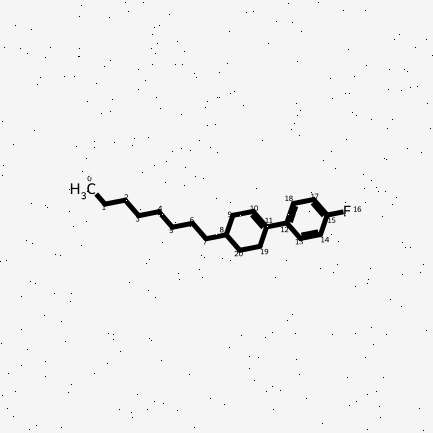 CCCCCCCCC1CC=C(c2ccc(F)cc2)CC1